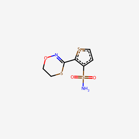 NS(=O)(=O)c1ccsc1C1=NOCCS1